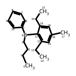 CCCCB(c1ccccc1)c1c(CC)cc(C)cc1CC